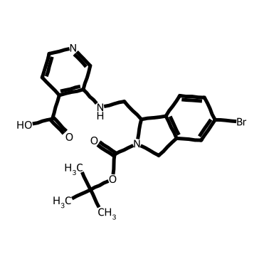 CC(C)(C)OC(=O)N1Cc2cc(Br)ccc2C1CNc1cnccc1C(=O)O